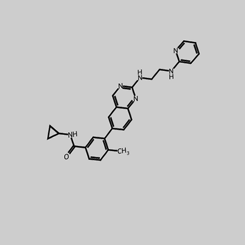 Cc1ccc(C(=O)NC2CC2)cc1-c1ccc2nc(NCCNc3ccccn3)ncc2c1